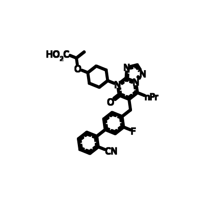 CCCc1c(Cc2ccc(-c3ccccc3C#N)cc2F)c(=O)n(C2CCC(OC(C)C(=O)O)CC2)c2ncnn12